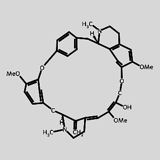 C=C1/C2=C\C(OC)=C(\O)COc3cc4c(cc3OC)CCN(C)[C@H]4Cc3ccc(cc3)Oc3cc(ccc3OC)C[C@@H]1N(C)CC2